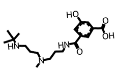 CN(CCCNC(=O)c1cc(O)cc(C(=O)O)c1)CCCNC(C)(C)C